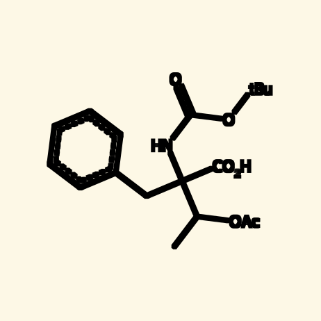 CC(=O)OC(C)C(Cc1ccccc1)(NC(=O)OC(C)(C)C)C(=O)O